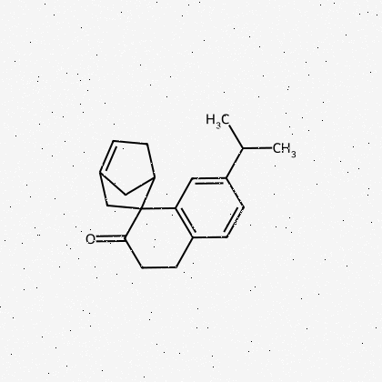 CC(C)c1ccc2c(c1)C1(CC3=CCC1C3)C(=O)CC2